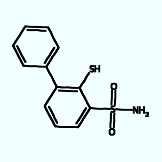 NS(=O)(=O)c1cccc(-c2ccccc2)c1S